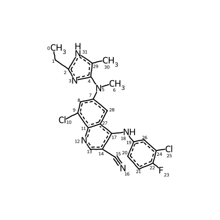 CCc1nc(N(C)c2cc(Cl)c3ncc(C#N)c(Nc4ccc(F)c(Cl)c4)c3c2)c(C)[nH]1